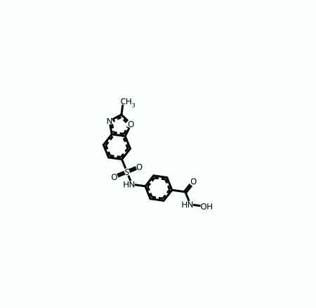 Cc1nc2ccc(S(=O)(=O)Nc3ccc(C(=O)NO)cc3)cc2o1